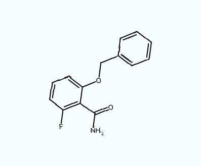 NC(=O)c1c(F)cccc1OCc1ccccc1